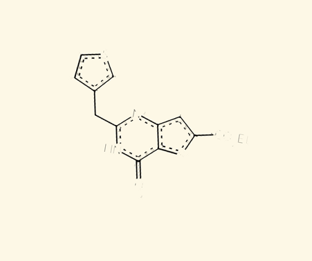 CCOC(=O)c1cc2nc(Cc3ccsc3)[nH]c(=O)c2s1